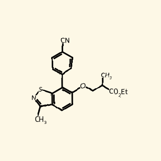 CCOC(=O)C(C)COc1ccc2c(C)nsc2c1-c1ccc(C#N)cc1